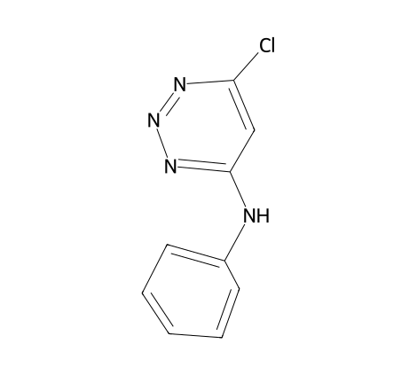 Clc1cc(Nc2ccccc2)nnn1